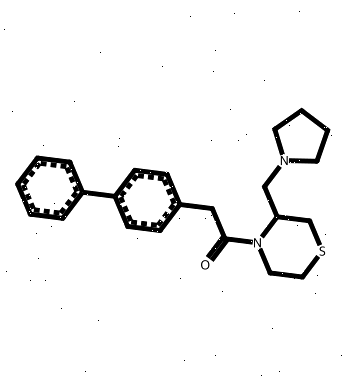 O=C(Cc1ccc(-c2ccccc2)cc1)N1CCSCC1CN1CCCC1